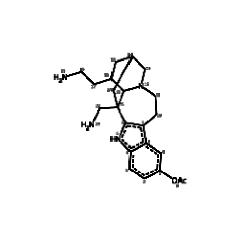 CC(=O)Oc1ccc2[nH]c3c(c2c1)CCN1CC2CC(CCN)C1C3(CN)C2